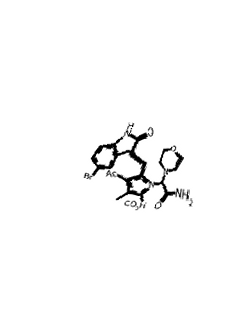 CC(=O)c1c(C)c(C(=O)O)n(C(C(N)=O)N2CCOCC2)c1C=C1C(=O)Nc2ccc(Br)cc21